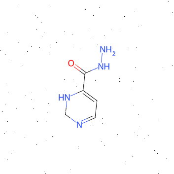 NNC(=O)C1=CC=NCN1